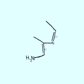 C/C=N\C(C)=C\N